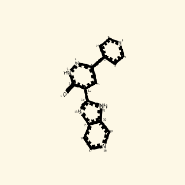 O=c1[nH]nc(-c2ccncc2)cc1-c1nc2ccncc2[nH]1